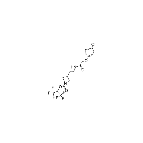 O=C(COc1ccc(Cl)cc1)NCCC1CN(C(=O)OC(C(F)(F)F)C(F)(F)F)C1